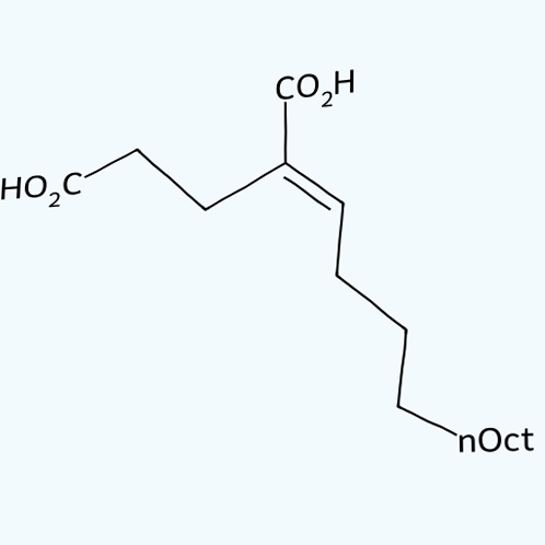 CCCCCCCCCCCC=C(CCC(=O)O)C(=O)O